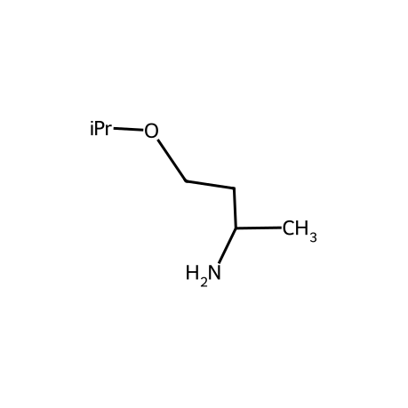 CC(N)CCOC(C)C